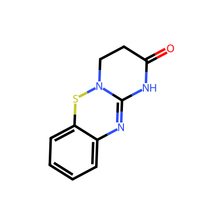 O=C1CCN2Sc3ccccc3N=C2N1